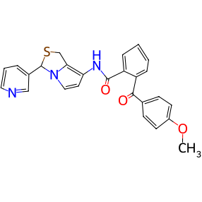 COc1ccc(C(=O)c2ccccc2C(=O)Nc2ccn3c2CSC3c2cccnc2)cc1